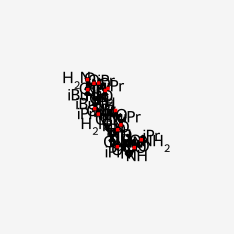 CCC(C)C(N)C(=O)NC(CC(N)=O)C(=O)NC(C(=O)NC(CC(C)C)C(=O)NCC(=O)NC(C(=O)NC(CC(C)C)C(=O)NCC(=O)NC(CC(C)C)C(=O)NC(CC(C)C)C(=O)NCC(=O)NC(CCCCN)C(=O)NC(C)C(=O)NC(CC(C)C)C(=O)NC(CO)C(=O)NC(Cc1cnc[nH]1)C(=O)NC(CC(C)C)C(N)=O)C(C)CC)C(C)C